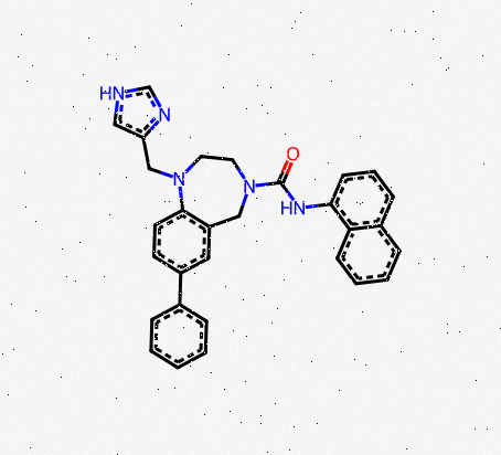 O=C(Nc1cccc2ccccc12)N1CCN(Cc2c[nH]cn2)c2ccc(-c3ccccc3)cc2C1